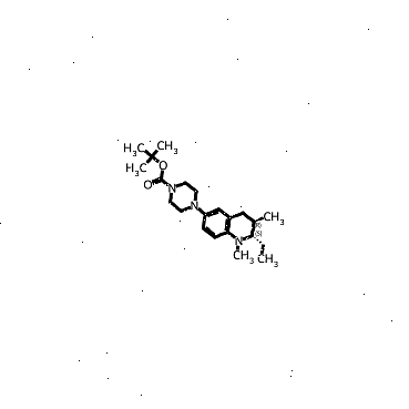 CC[C@H]1[C@H](C)Cc2cc(N3CCN(C(=O)OC(C)(C)C)CC3)ccc2N1C